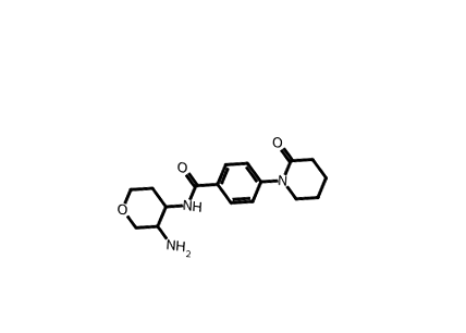 NC1COCCC1NC(=O)c1ccc(N2CCCCC2=O)cc1